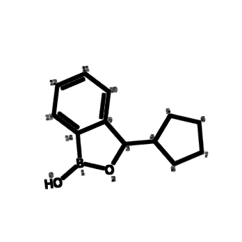 OB1OC(C2CCCC2)c2ccccc21